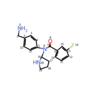 NCc1ccc(N(C(=O)c2cccc(F)c2)C2CCCN2)cc1